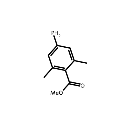 COC(=O)c1c(C)cc(P)cc1C